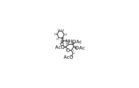 CC(=O)OC[C@H]1OC(OC(C)=O)[C@@H](NC(=O)C2CCCCC2)[C@@H](OC(C)=O)[C@@H]1OC(C)=O